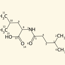 CC(C)CCC(=O)NC(CC(C)C)C(=O)O